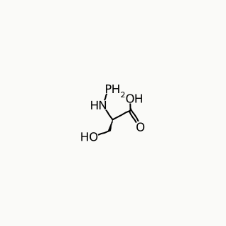 O=C(O)[C@@H](CO)NP